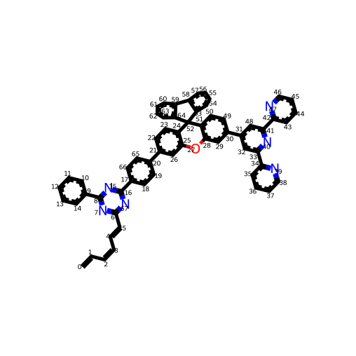 C=C/C=C\C=C\c1nc(-c2ccccc2)nc(-c2ccc(-c3ccc4c(c3)Oc3cc(-c5cc(-c6ccccn6)nc(-c6ccccn6)c5)ccc3C43c4ccccc4-c4ccccc43)cc2)n1